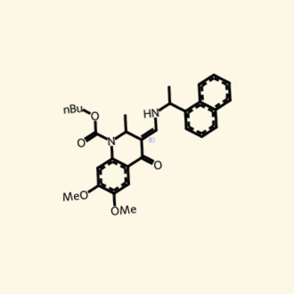 CCCCOC(=O)N1c2cc(OC)c(OC)cc2C(=O)/C(=C/NC(C)c2cccc3ccccc23)C1C